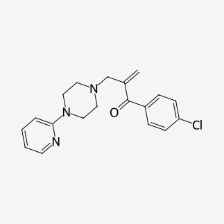 C=C(CN1CCN(c2ccccn2)CC1)C(=O)c1ccc(Cl)cc1